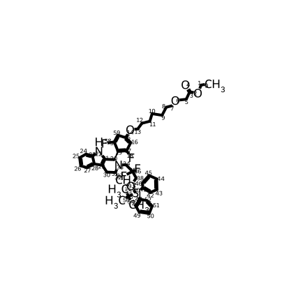 CCOC(=O)COCCCCCCCOc1cc(F)c([C@@H]2c3[nH]c4ccccc4c3C[C@@H](C)N2CC(F)(F)CO[Si](c2ccccc2)(c2ccccc2)C(C)(C)C)c(F)c1